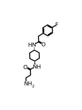 NCCC(=O)N[C@H]1CC[C@H](NC(=O)Cc2ccc(F)cc2)CC1